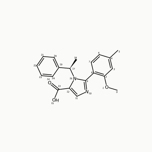 COc1cc(C)ccc1-c1ncc(C(=O)O)n1[C@H](C)c1ccccc1